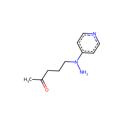 CC(=O)CCCN(N)c1ccncc1